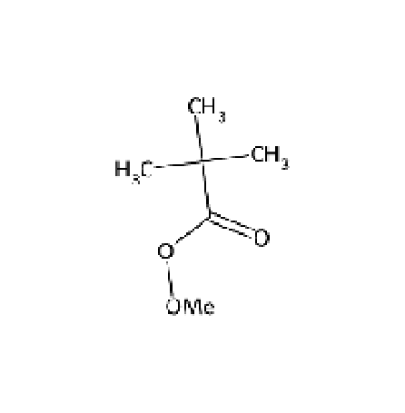 COOC(=O)C(C)(C)C